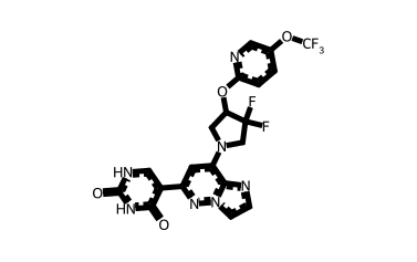 O=c1[nH]cc(-c2cc(N3CC(Oc4ccc(OC(F)(F)F)cn4)C(F)(F)C3)c3nccn3n2)c(=O)[nH]1